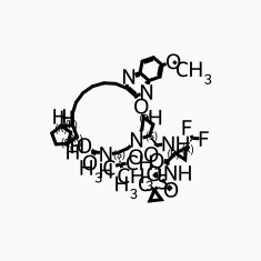 COc1ccc2nc3c(nc2c1)O[C@@H]1C[C@@H](C(=O)N[C@]2(C(=O)NS(=O)(=O)C4(C)CC4)C[C@H]2C(F)F)N(C1)C(=O)[C@H](C(C)(C)C)NC(=O)O[C@@H]1[C@H]2CC[C@H](C2)[C@H]1CCCCCC3